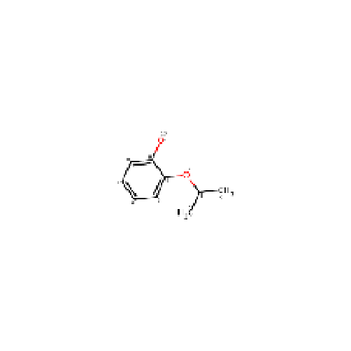 CC(C)Oc1ccccc1[O]